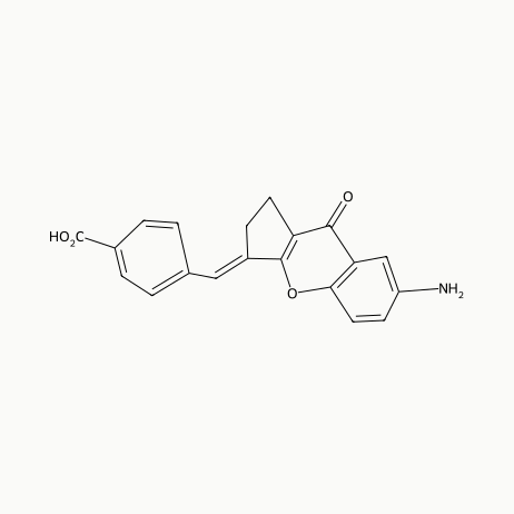 Nc1ccc2oc3c(c(=O)c2c1)CCC3=Cc1ccc(C(=O)O)cc1